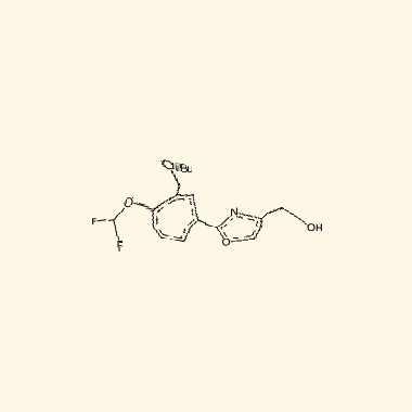 CC(C)COc1cc(-c2nc(CO)co2)ccc1OC(F)F